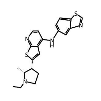 CCN1CC[C@@H](c2cc3c(Nc4ccc5scnc5c4)ccnc3s2)[C@H]1C